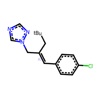 CC(C)(C)C/C(=C\c1ccc(Cl)cc1)Cn1cncn1